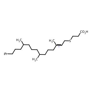 C/C(=C\CSCCC(=O)O)CCCC(C)CCCC(C)CCCC(C)C